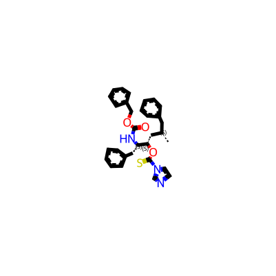 C[C@@H](Cc1ccccc1)C[C@H](OC(=S)n1ccnc1)[C@H](Cc1ccccc1)NC(=O)OCc1ccccc1